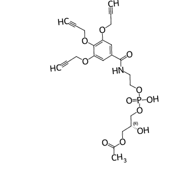 C#CCOc1cc(C(=O)NCCOP(=O)(O)OC[C@H](O)COC(C)=O)cc(OCC#C)c1OCC#C